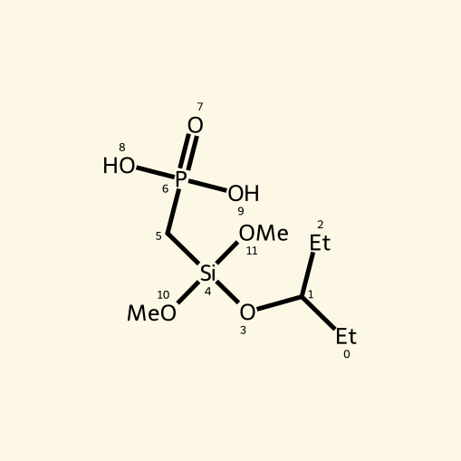 CCC(CC)O[Si](CP(=O)(O)O)(OC)OC